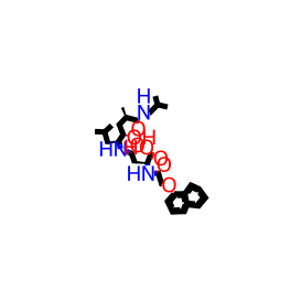 CC(C)CNC(=O)[C@H](C)C[C@H](O)[C@H](CC(C)C)NC(=O)C[C@H](NC(=O)COc1cccc2ccccc12)C(=O)O